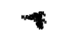 CCN1CCN(c2cc3c(N[C@H](N)c4cccc(C(F)(F)F)c4F)nnc(C)c3cn2)CC1